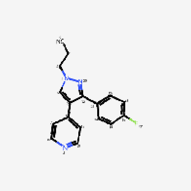 N#CCCn1cc(-c2ccncc2)c(-c2ccc(F)cc2)n1